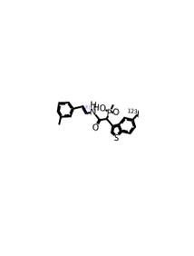 Cc1cccc(/C=C/NC(=O)C(c2csc3ccc([123I])cc23)P(C)(=O)O)c1